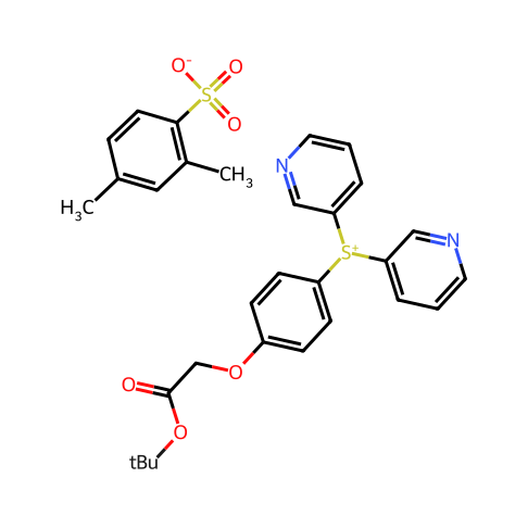 CC(C)(C)OC(=O)COc1ccc([S+](c2cccnc2)c2cccnc2)cc1.Cc1ccc(S(=O)(=O)[O-])c(C)c1